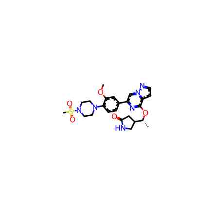 COc1cc(-c2cn3nccc3c(O[C@H](C)C3CNC(=O)C3)n2)ccc1N1CCN(S(C)(=O)=O)CC1